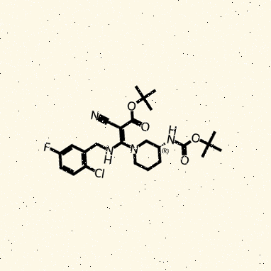 CC(C)(C)OC(=O)N[C@@H]1CCCN(C(NCc2cc(F)ccc2Cl)=C(C#N)C(=O)OC(C)(C)C)C1